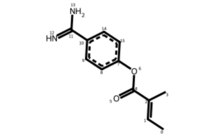 C/C=C(\C)C(=O)Oc1ccc(C(=N)N)cc1